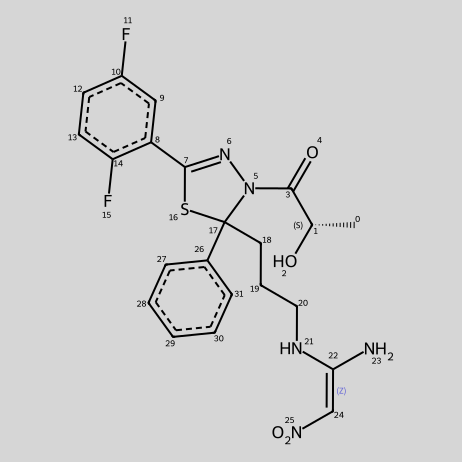 C[C@H](O)C(=O)N1N=C(c2cc(F)ccc2F)SC1(CCCN/C(N)=C\[N+](=O)[O-])c1ccccc1